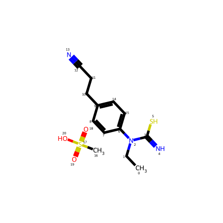 CCN(C(=N)S)c1ccc(CCC#N)cc1.CS(=O)(=O)O